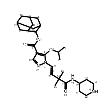 CC(C)Oc1c(C(=O)NC2C3CC4CC(C3)CC2C4)cnn1/C=C/C(C)(C)C(=O)NC1CCNCC1